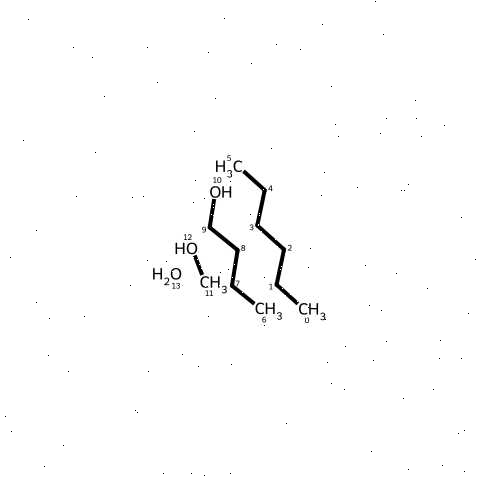 CCCCCC.CCCCO.CO.O